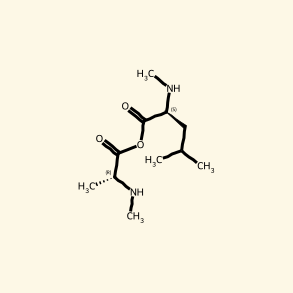 CN[C@@H](CC(C)C)C(=O)OC(=O)[C@@H](C)NC